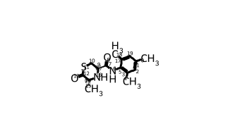 Cc1cc(C)c(NC(=O)[C@@H]2CSC(=O)[C@@H](C)N2)c(C)c1